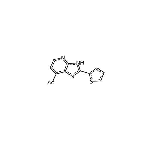 CC(=O)c1ccnc2[nH]c(-c3cccs3)nc12